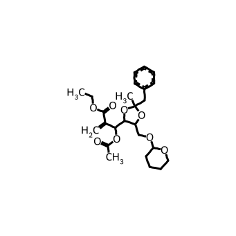 C=C(C(=O)OCC)C(OC(C)=O)C1OC(C)(Cc2ccccc2)OC1COC1CCCCO1